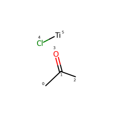 CC(C)=O.[Cl][Ti]